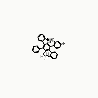 Cc1ccccc1-c1c(C)c(-c2ccccc2)c2c([nH]c3ccccc32)c1-c1ccc(F)cc1C(F)(F)F